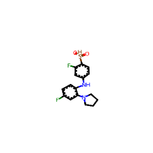 O=[SH](=O)c1ccc(Nc2ccc(F)cc2N2CCCC2)cc1F